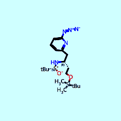 CC(C)(C)[S@@+]([O-])N[C@@H](CCO[Si](C)(C)C(C)(C)C)Cc1cccc(N=[N+]=[N-])n1